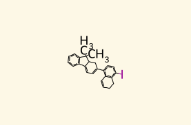 CC1(C)c2ccccc2C2=CC=C(c3ccc(I)c4c3C=CCC4)CC21